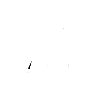 CC1C2OC3CC(=O)[C@@H](O[C@@H]31)C2C